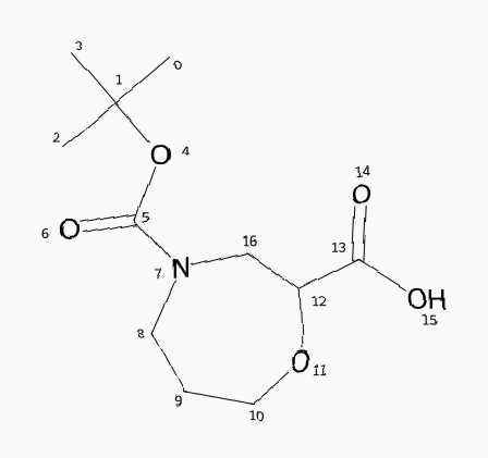 CC(C)(C)OC(=O)N1CCCOC(C(=O)O)C1